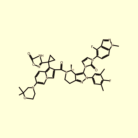 Cc1cc(-n2nc3c(c2-n2ccn(-c4ccc5c(cnn5C)c4F)c2=O)[C@H](C)N(C(=O)c2cn4cc(N5CCOC(C)(C)C5)ccc4c2C2(c4noc(=O)[nH]4)CC2)CC3)cc(C)c1F